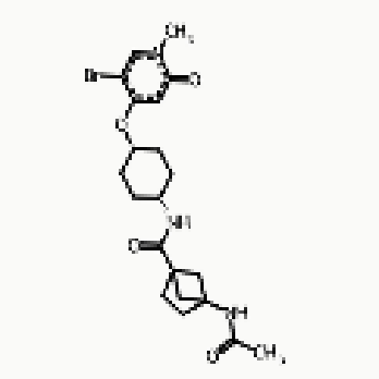 CC(=O)NC12CCC(C(=O)N[C@H]3CC[C@H](Oc4cc(=O)n(C)cc4Br)CC3)(C1)C2